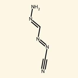 N#CN=NC=NN